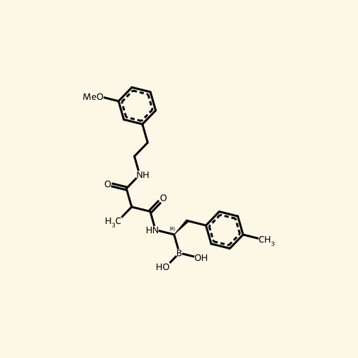 COc1cccc(CCNC(=O)C(C)C(=O)N[C@@H](Cc2ccc(C)cc2)B(O)O)c1